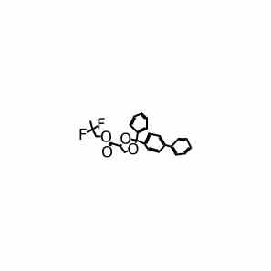 CC(F)(F)COC(=O)C1COC(c2ccccc2)(c2ccc(-c3ccccc3)cc2)O1